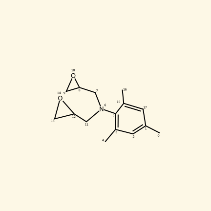 Cc1cc(C)c(N(CC2CO2)CC2CO2)c(C)c1